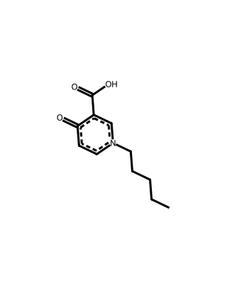 CCCCCn1ccc(=O)c(C(=O)O)c1